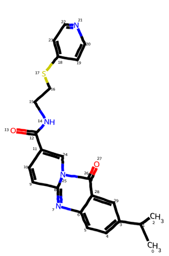 CC(C)c1ccc2nc3ccc(C(=O)NCCSc4ccncc4)cn3c(=O)c2c1